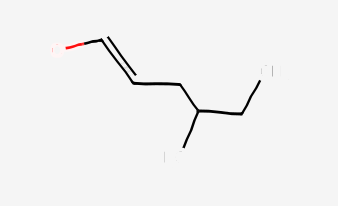 CCC(C)CC=C[O]